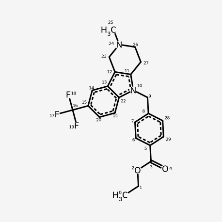 CCOC(=O)c1ccc(Cn2c3c(c4cc(C(F)(F)F)ccc42)CN(C)CC3)cc1